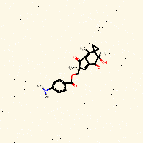 CC(=O)ON(C(C)=O)c1ccc(C(=O)OC[C@]2(C)C=C3C(=O)C(C)(O)C4(CC4)C(C)=C3C2=O)cc1